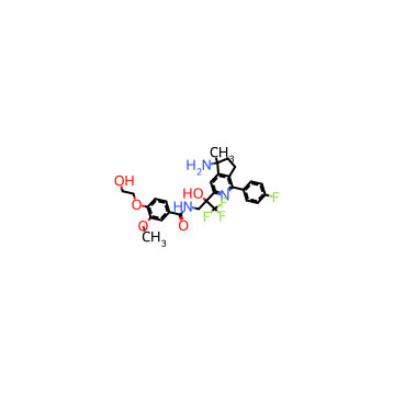 COc1cc(C(=O)NCC(O)(c2cc3c(c(-c4ccc(F)cc4)n2)CCC3(C)N)C(F)(F)F)ccc1OCCO